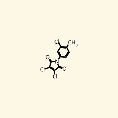 Cc1ccc(N2C(=O)C(Cl)=C(Cl)C2=O)cc1Cl